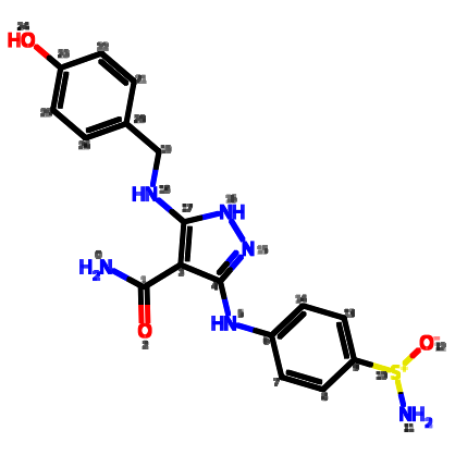 NC(=O)c1c(Nc2ccc([S+](N)[O-])cc2)n[nH]c1NCc1ccc(O)cc1